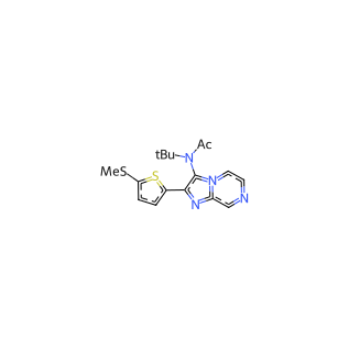 CSc1ccc(-c2nc3cnccn3c2N(C(C)=O)C(C)(C)C)s1